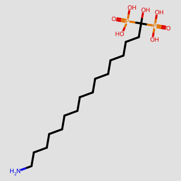 NCCCCCCCCCCCCCCCC(O)(P(=O)(O)O)P(=O)(O)O